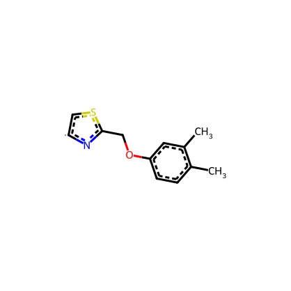 Cc1ccc(OCc2n[c]cs2)cc1C